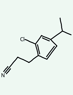 CC(C)c1ccc(CCC#N)c(Cl)c1